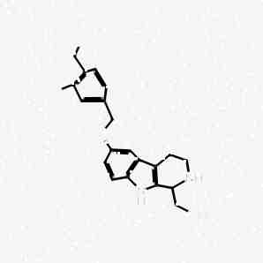 CC(C)Cc1ccc(COc2ccc3[nH]c4c(c3c2)CCNC4CC(=O)O)cc1C(F)(F)F